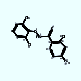 O=C(NOc1c(Cl)cccc1Cl)c1ncc(C(F)(F)F)cc1Cl